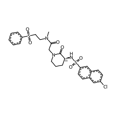 CN(CCS(=O)(=O)c1ccccc1)C(=O)CN1CCC[C@H](NS(=O)(=O)c2ccc3cc(Cl)ccc3c2)C1=O